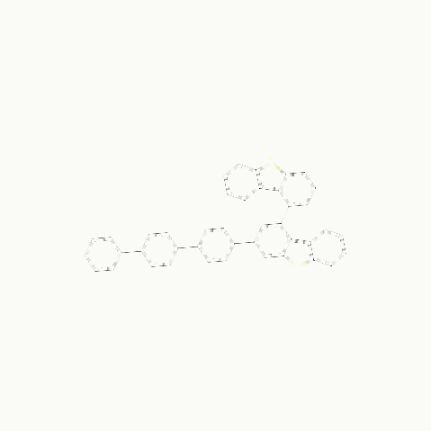 c1ccc(-c2ccc(-c3ccc(-c4cc(-c5cccc6sc7ccccc7c56)c5c(c4)sc4ccccc45)cc3)cc2)cc1